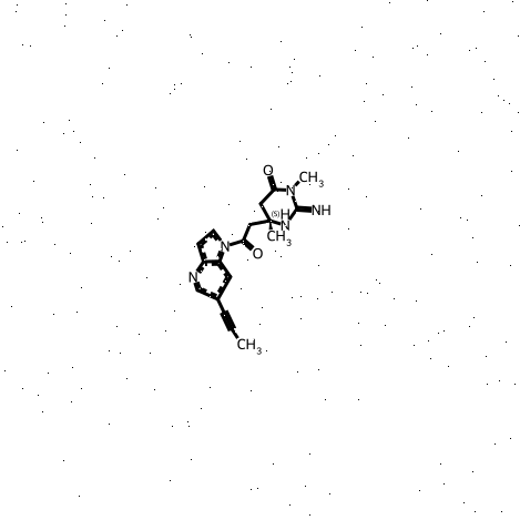 CC#Cc1cnc2ccn(C(=O)C[C@]3(C)CC(=O)N(C)C(=N)N3)c2c1